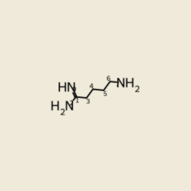 N=C(N)CCCCN